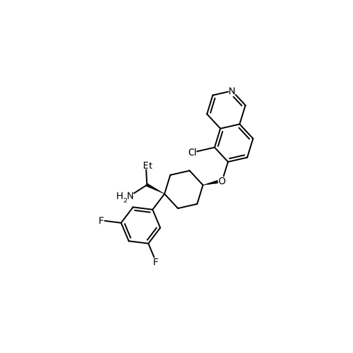 CCC(N)[C@]1(c2cc(F)cc(F)c2)CC[C@H](Oc2ccc3cnccc3c2Cl)CC1